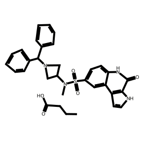 CCCC(=O)O.CN(C1CN(C(c2ccccc2)c2ccccc2)C1)S(=O)(=O)c1ccc2[nH]c(=O)c3[nH]ccc3c2c1